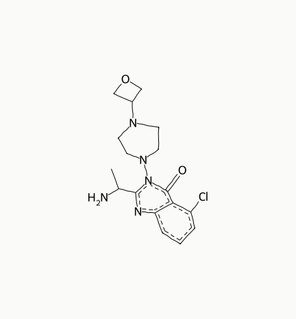 CC(N)c1nc2cccc(Cl)c2c(=O)n1N1CCN(C2COC2)CC1